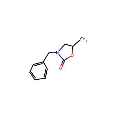 CC1CN(Cc2ccccc2)C(=O)O1